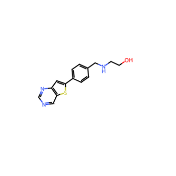 OCCNCc1ccc(-c2cc3ncn[c]c3s2)cc1